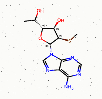 CS[C@@H]1[C@H](O)[C@@H](C(C)O)O[C@H]1n1cnc2c(N)ncnc21